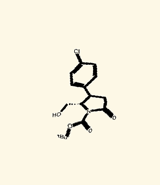 CC(C)(C)OC(=O)N1C(=O)CC(c2ccc(Cl)cc2)[C@H]1CO